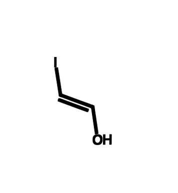 OC=CI